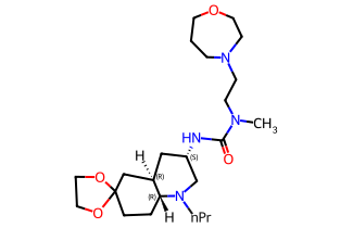 CCCN1C[C@@H](NC(=O)N(C)CCN2CCCOCC2)C[C@@H]2CC3(CC[C@H]21)OCCO3